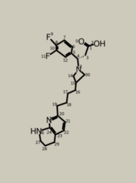 O=C(O)C[C@@H](c1ccc(F)c(F)c1)N1CC(CCCCc2ccc3c(n2)NCCC3)C1